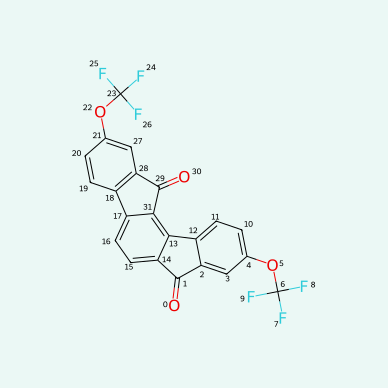 O=c1c2cc(OC(F)(F)F)ccc2c2c1ccc1c3ccc(OC(F)(F)F)cc3c(=O)c12